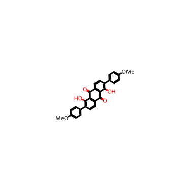 COc1ccc(-c2ccc3c(c2O)C(=O)c2ccc(-c4ccc(OC)cc4)c(O)c2C3=O)cc1